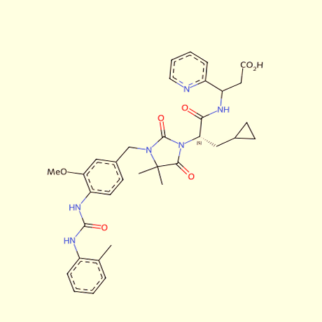 COc1cc(CN2C(=O)N([C@@H](CC3CC3)C(=O)NC(CC(=O)O)c3ccccn3)C(=O)C2(C)C)ccc1NC(=O)Nc1ccccc1C